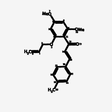 C=CCOc1cc(OC)cc(OC)c1C(=O)/C=C/c1ccc(C)cc1